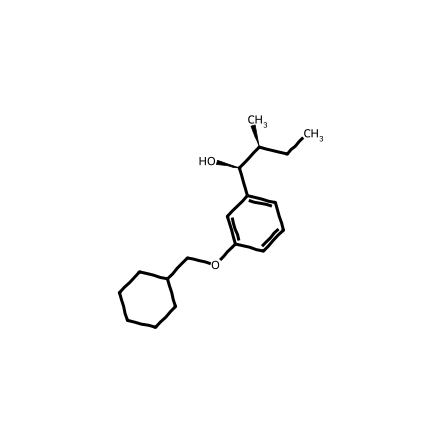 CC[C@H](C)[C@H](O)c1cccc(OCC2CCCCC2)c1